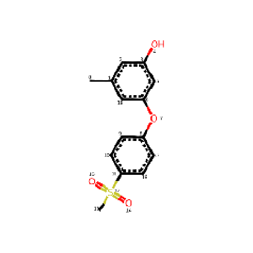 Cc1cc(O)cc(Oc2ccc(S(C)(=O)=O)cc2)c1